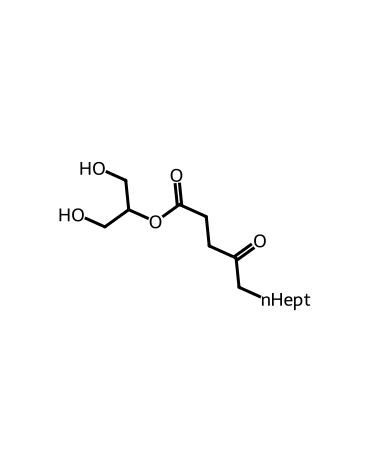 CCCCCCCCC(=O)CCC(=O)OC(CO)CO